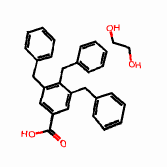 O=C(O)c1cc(Cc2ccccc2)c(Cc2ccccc2)c(Cc2ccccc2)c1.OCCO